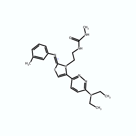 CCN(CC)c1ccc(-c2cs/c(=N\c3cccc(C)c3)n2CCNC(=O)NC)nn1